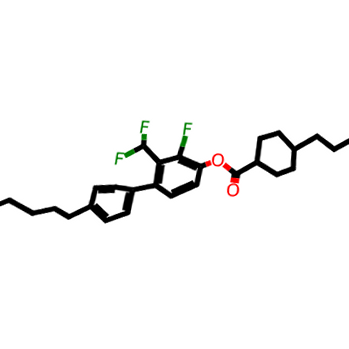 CCCCCc1ccc(-c2ccc(OC(=O)C3CCC(CCC)CC3)c(F)c2C(F)F)cc1